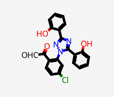 O=CC(=O)c1ccc(Cl)cc1-n1nc(-c2ccccc2O)nc1-c1ccccc1O